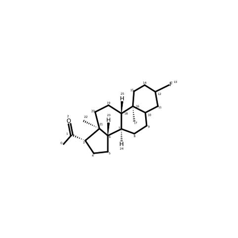 CC(=O)[C@H]1CC[C@H]2[C@@H]3CCC4CC(F)CC[C@]4(C)[C@H]3CC[C@]12C